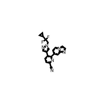 N#Cc1ccc(-c2cnn(CC(F)(F)C3CC3)c2)c(-c2ccn3ccnc3c2)n1